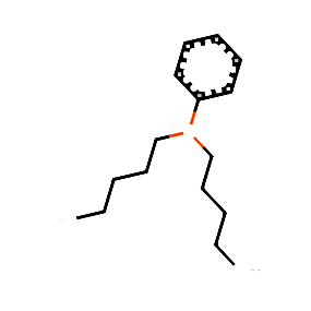 CCCCCCCCCCCCCCP(CCCCCCCCCCCCCC)c1ccccc1